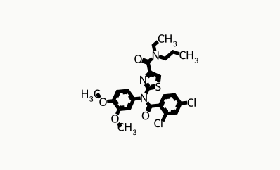 CCCN(CC)C(=O)c1csc(N(C(=O)c2ccc(Cl)cc2Cl)c2ccc(OC)c(OC)c2)n1